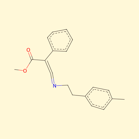 COC(=O)C(=C=NCCc1ccc(C)cc1)c1ccccc1